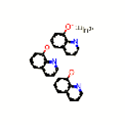 [111In+3].[O-]c1cccc2cccnc12.[O-]c1cccc2cccnc12.[O-]c1cccc2cccnc12